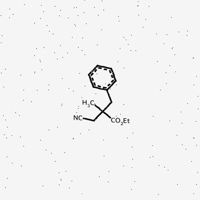 CCOC(=O)C(C)(CC#N)Cc1ccccc1